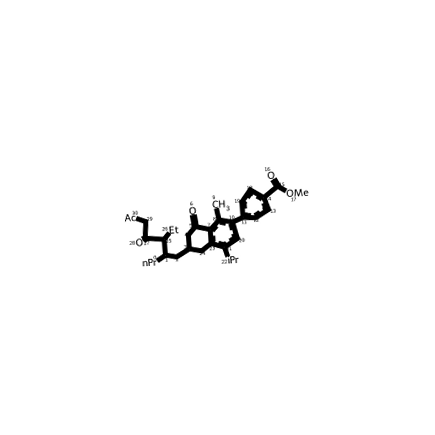 CCCC(CC1CC(=O)c2c(C)c(-c3ccc(C(=O)OC)cc3)cc(C(C)C)c2C1)C(CC)C(=O)CC(C)=O